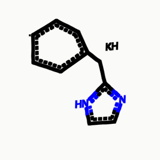 [KH].[c]1ccc(Cc2ncc[nH]2)cc1